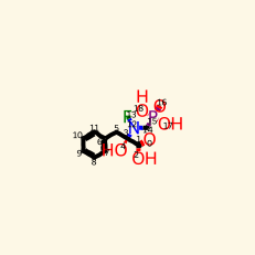 O=C(O)[C@](O)(Cc1ccccc1)N(F)CP(=O)(O)O